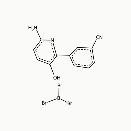 BrB(Br)Br.N#Cc1cccc(-c2nc(N)ccc2O)c1